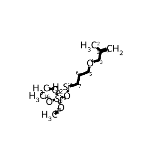 C=C(C)COCCC[SiH2]O[Si](OC)(OC)OC